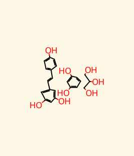 OCC(O)CO.Oc1ccc(/C=C/c2cc(O)cc(O)c2)cc1.Oc1cccc(O)c1